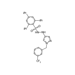 CC(C)c1cc(C(C)C)c(S(=O)(=O)NNc2cnn(Cc3cccc(C(F)(F)F)c3)c2)c(C(C)C)c1